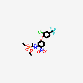 CCOP(=O)(OCC)C(C)Nc1cc(Oc2ccc(C(F)(F)F)cc2Cl)ccc1[N+](=O)[O-]